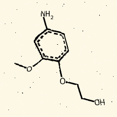 COc1cc(N)ccc1OCCO